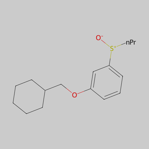 CCC[S+]([O-])c1cccc(OCC2CCCCC2)c1